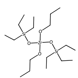 CCC[O][Zr]([O]CCC)([O][Si](CC)(CC)CC)[O][Si](CC)(CC)CC